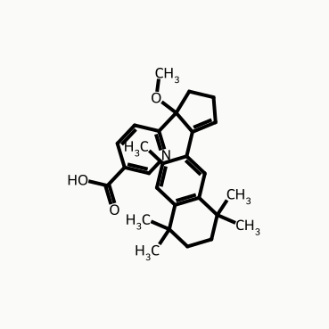 COC1(c2ccc(C(=O)O)cn2)CCC=C1c1cc2c(cc1C)C(C)(C)CCC2(C)C